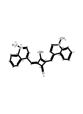 CN1C=CC(=CC2=C(O)C(=Cc3cc[n+](C)c4ccccc34)C2=O)c2ccccc21